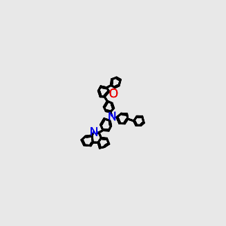 c1ccc(-c2ccc(N(c3ccc(-c4nc5ccccc5c5ccccc45)cc3)c3ccc(-c4cccc5c4oc4ccccc45)cc3)cc2)cc1